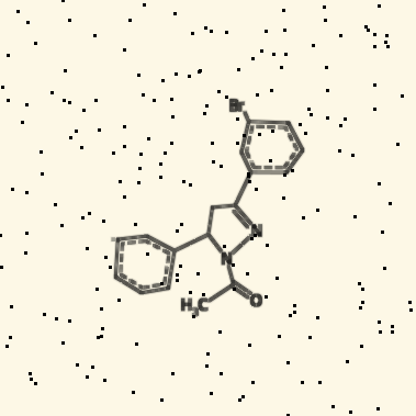 CC(=O)N1N=C(c2cccc(Br)c2)CC1c1c[c]ccc1